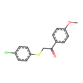 COc1ccc(C(=O)CSc2ccc(Cl)cc2)cc1